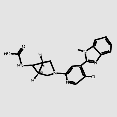 Cn1c(-c2cc(N3C[C@@H]4C(NC(=O)O)[C@@H]4C3)ncc2Cl)nc2ccccc21